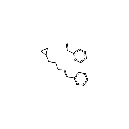 C(=Cc1ccccc1)CCCC1CC1.C=Cc1ccccc1